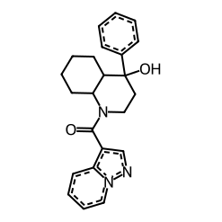 O=C(c1cnn2ccccc12)N1CCC(O)(c2ccccc2)C2CCCCC21